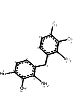 Nc1c(Cc2ccc(O)c(O)c2N)ccc(O)c1O